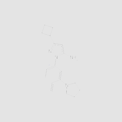 C=C/C(=C\C(=C/C)n1nc(C2CCC2)cc1N)N1CCCC1